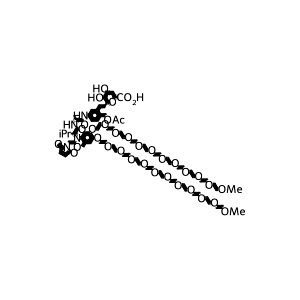 COCCOCCOCCOCCOCCOCCOCCOCCOCCOCCOCCOc1cc(C)c(N(C(=O)CN2C(=O)C=CC2=O)[C@H](C(=O)N[C@@H](C)C(=O)Nc2ccc(COC(C)=O)c(CC[C@@H]3O[C@H](C(=O)O)C[C@H](O)[C@H]3O)c2)C(C)C)cc1OCCOCCOCCOCCOCCOCCOCCOCCOCCOCCOCCOC